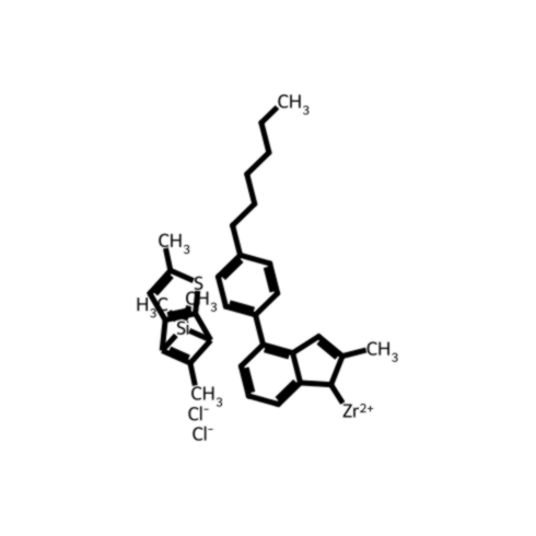 CC1=C2c3cc(C)sc3C1[Si]2(C)C.CCCCCCc1ccc(-c2cccc3c2C=C(C)[CH]3[Zr+2])cc1.[Cl-].[Cl-]